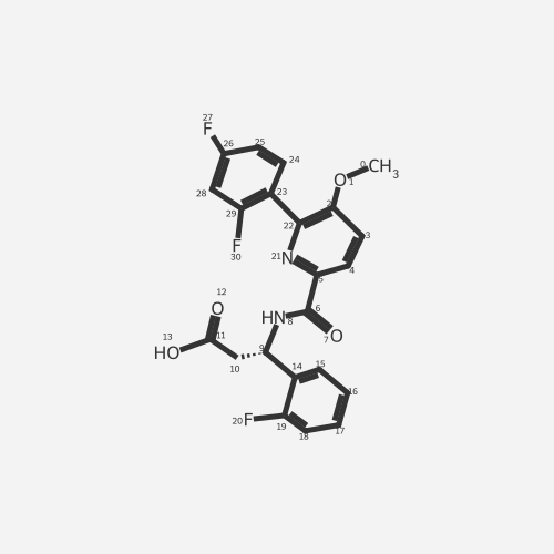 COc1ccc(C(=O)N[C@@H](CC(=O)O)c2ccccc2F)nc1-c1ccc(F)cc1F